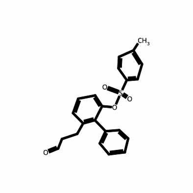 Cc1ccc(S(=O)(=O)Oc2cccc(CCC=O)c2-c2ccccc2)cc1